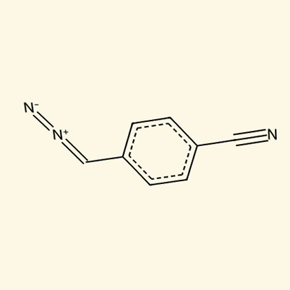 N#Cc1ccc(C=[N+]=[N-])cc1